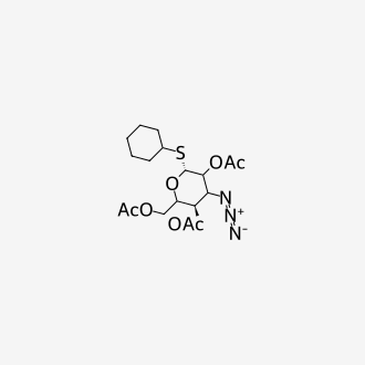 CC(=O)OCC1O[C@H](SC2CCCCC2)C(OC(C)=O)C(N=[N+]=[N-])[C@H]1OC(C)=O